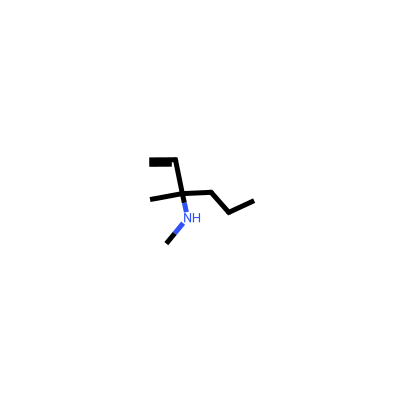 C=CC(C)(CCC)NC